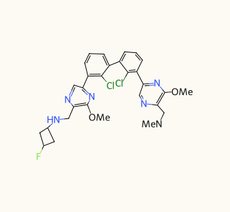 CNCc1ncc(-c2cccc(-c3cccc(-c4cnc(CNC5CC(F)C5)c(OC)n4)c3Cl)c2Cl)nc1OC